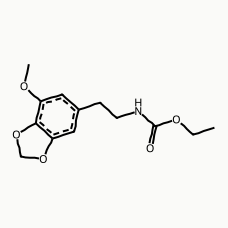 CCOC(=O)NCCc1cc(OC)c2c(c1)OCO2